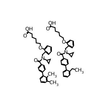 CCc1ccccc1-c1ccc(C(=O)N(Cc2ccccc2OCCCCCC(=O)O)C2CC2)cc1.Cc1cccc(-c2ccc(C(=O)N(Cc3ccccc3OCCCCCC(=O)O)C3CC3)cc2)c1C